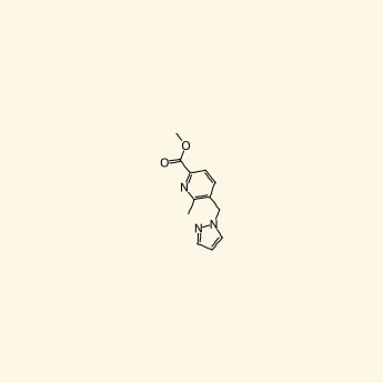 COC(=O)c1ccc(Cn2cccn2)c(C)n1